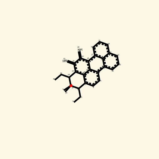 CCC(CC)c1ccc2c3cccc4cccc(c5c(=N)c(=N)c(C(CC)CC)c1c25)c43